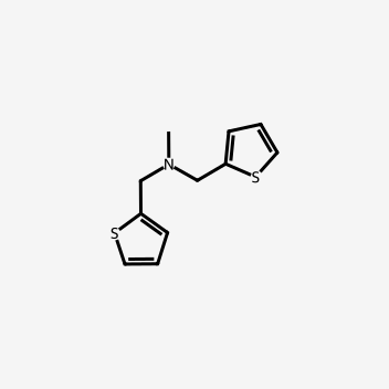 CN(Cc1cccs1)Cc1cccs1